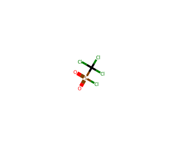 O=S(=O)(Cl)C(Cl)(Cl)Cl